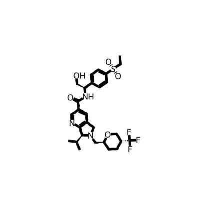 CCS(=O)(=O)c1ccc([C@H](CO)NC(=O)c2cnc3c(c2)CN(C[C@@H]2CC[C@@H](C(F)(F)F)CO2)[C@H]3C(C)C)cc1